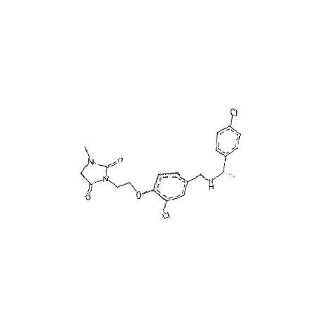 C[C@H](NCc1ccc(OCCN2C(=O)CN(C)C2=O)c(Cl)c1)c1ccc(Cl)cc1